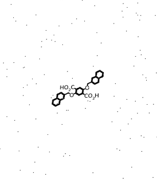 O=C(O)c1cc(OCc2ccc3ccccc3c2)c(C(=O)O)cc1OCc1ccc2ccccc2c1